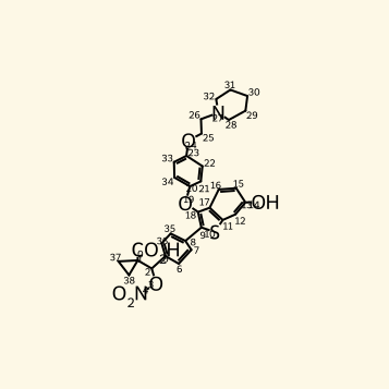 O=C(O)C1(C(O[N+](=O)[O-])c2ccc(-c3sc4cc(O)ccc4c3Oc3ccc(OCCN4CCCCC4)cc3)cc2)CC1